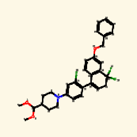 COC(OC)C1CCN(c2ccc(C3=CCC(F)(F)c4cc(OCc5ccccc5)ccc43)c(F)c2)CC1